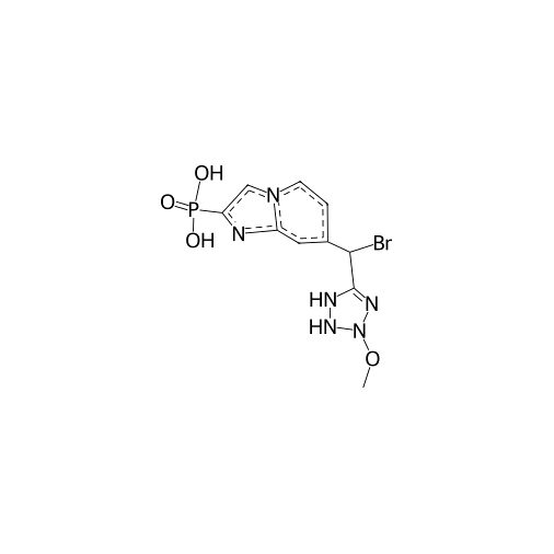 CON1N=C(C(Br)c2ccn3cc(P(=O)(O)O)nc3c2)NN1